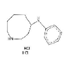 Cl.Cl.c1ccc(NC2CCCCNCC2)cc1